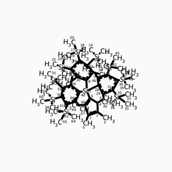 CC1=C(C)C(C)C([Si](c2c(C)c([Si](C)(C)C)c([Si](C)(C)C)c([Si](C)(C)C)c2C)(c2c(C)c([Si](C)(C)C)c([Si](C)(C)C)c([Si](C)(C)C)c2C)c2c(C)c([Si](C)(C)C)c([Si](C)(C)C)c([Si](C)(C)C)c2C)=C1C